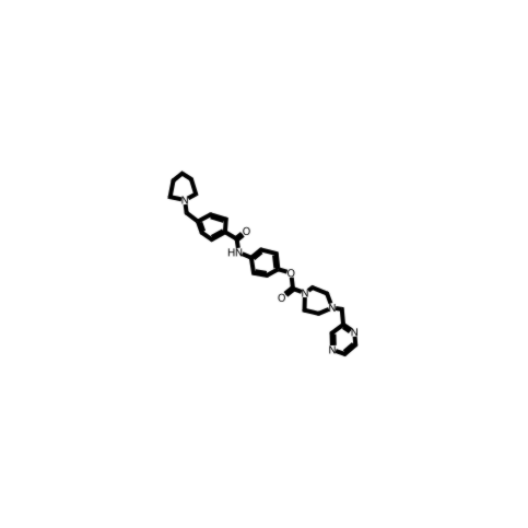 O=C(Nc1ccc(OC(=O)N2CCN(Cc3cnccn3)CC2)cc1)c1ccc(CN2CCCCC2)cc1